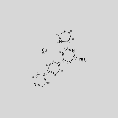 Nc1nc(-c2ccc(-c3ccncc3)cc2)cc(-c2ccccn2)n1.[Cu]